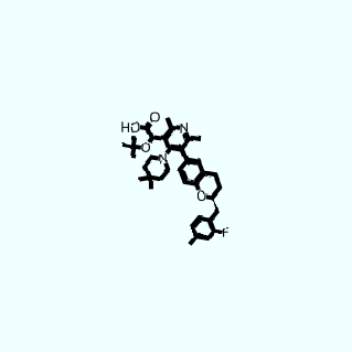 Cc1ccc(C[C@@H]2CCc3cc(-c4c(C)nc(C)c(C(OC(C)(C)C)C(=O)O)c4N4CCC(C)(C)CC4)ccc3O2)c(F)c1